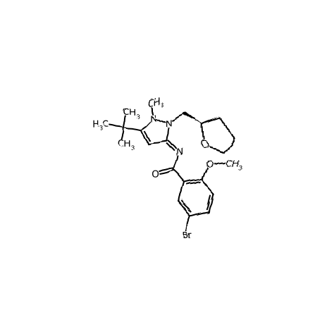 COc1ccc(Br)cc1C(=O)/N=c1\cc(C(C)(C)C)n(C)n1C[C@H]1CCCO1